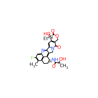 CC[Si@@]1(O)C(=O)OCc2c1cc1n(c2=O)Cc2c-1nc1cc(F)c(C)c3c1c2[C@H](NC(=O)[C@@H](C)O)CC3